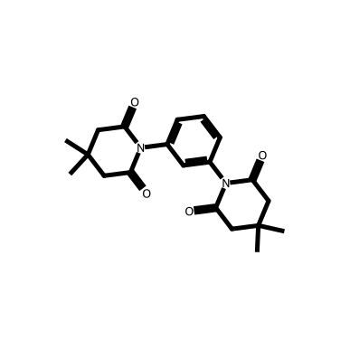 CC1(C)CC(=O)N(c2cccc(N3C(=O)CC(C)(C)CC3=O)c2)C(=O)C1